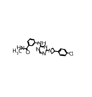 CNC(=O)c1cccc(Nc2ncnc(N3CC(c4ccc(Cl)cc4)C3)n2)c1